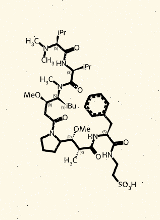 CC[C@H](C)[C@@H]([C@@H](CC(=O)N1CCCC1[C@H](OC)[C@@H](C)C(=O)N[C@@H](Cc1ccccc1)C(=O)NCCS(=O)(=O)O)OC)N(C)C(=O)[C@@H](NC(=O)[C@H](C(C)C)N(C)C)C(C)C